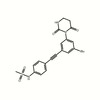 CC(C)(C)c1cc(C#Cc2ccc(NS(C)(=O)=O)cc2)cc(N2C(=O)CCNC2=O)c1